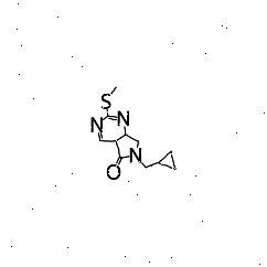 CSC1=NC2CN(CC3CC3)C(=O)C2C=N1